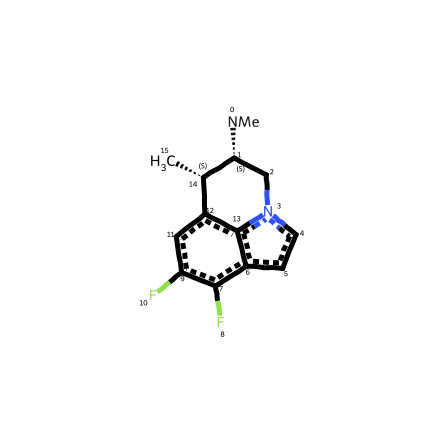 CN[C@@H]1Cn2ccc3c(F)c(F)cc(c32)[C@@H]1C